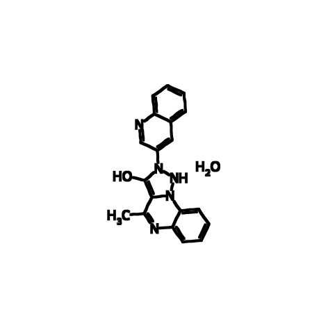 CC1=Nc2ccccc2N2NN(c3cnc4ccccc4c3)C(O)=C12.O